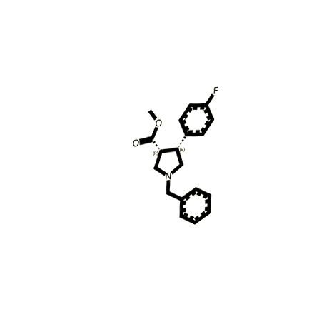 COC(=O)[C@H]1CN(Cc2ccccc2)C[C@H]1c1ccc(F)cc1